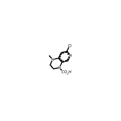 CN1CCN(C(=O)O)c2cnc(Cl)cc21